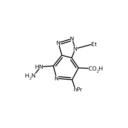 CCCc1nc(NN)c2nnn(CC)c2c1C(=O)O